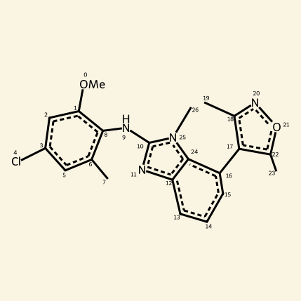 COc1cc(Cl)cc(C)c1Nc1nc2cccc(-c3c(C)noc3C)c2n1C